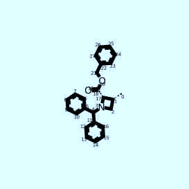 C[C@@H]1CN(C(c2ccccc2)c2ccccc2)[C@@H]1C(=O)OCc1ccccc1